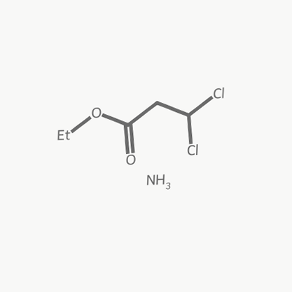 CCOC(=O)CC(Cl)Cl.N